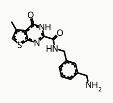 Cc1csc2nc(C(=O)NCc3cccc(CN)c3)[nH]c(=O)c12